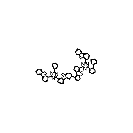 c1ccc(-c2nc(-c3cccc4c3sc3ccccc34)nc(-c3cccc4c3sc3ccc(-c5cccc6sc7c(-c8nc(-c9ccccc9-c9ccccc9)nc(-c9cccc%10c9sc9ccccc9%10)n8)cccc7c56)cc34)n2)cc1